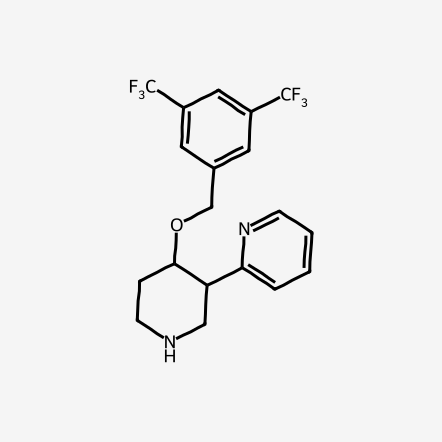 FC(F)(F)c1cc(COC2CCNCC2c2ccccn2)cc(C(F)(F)F)c1